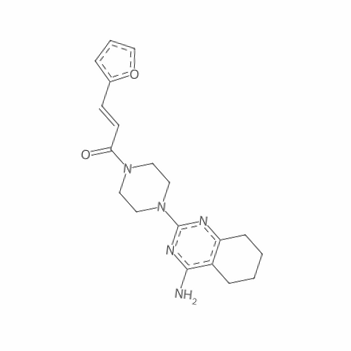 Nc1nc(N2CCN(C(=O)C=Cc3ccco3)CC2)nc2c1CCCC2